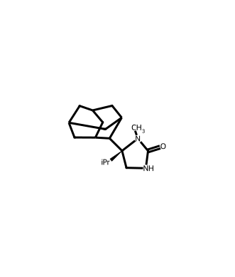 CC(C)[C@]1(C2C3CC4CC(C3)CC2C4)CNC(=O)N1C